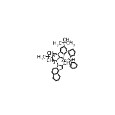 CC1=Cc2c(ccc3ccccc23)C1c1cc(C(C)(C)C)cc2c1[CH]([Zr][SiH](c1ccccc1)c1ccccc1)c1ccc(C(C)(C)C)cc1-2